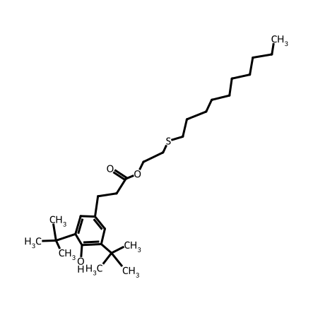 CCCCCCCCCCSCCOC(=O)CCc1cc(C(C)(C)C)c(O)c(C(C)(C)C)c1